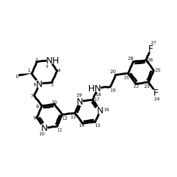 C[C@H]1CNCCN1Cc1cncc(-c2ccnc(NCCc3cc(F)cc(F)c3)n2)c1